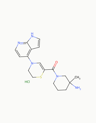 CC1(N)CCCN(C(=O)C2=CN(c3ccnc4[nH]ccc34)CCS2)C1.Cl